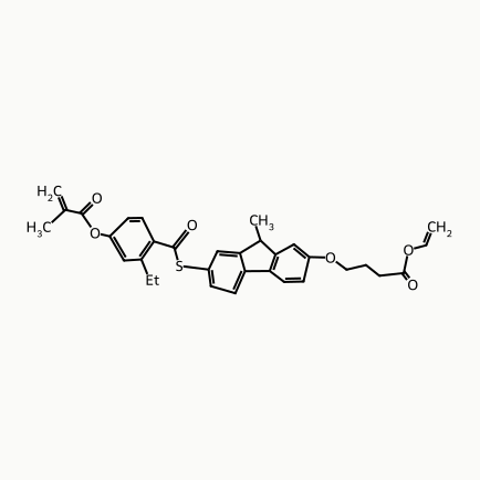 C=COC(=O)CCCOc1ccc2c(c1)C(C)c1cc(SC(=O)c3ccc(OC(=O)C(=C)C)cc3CC)ccc1-2